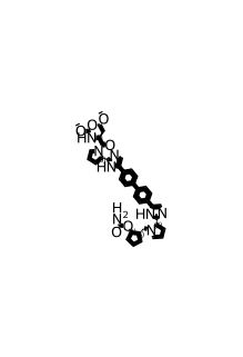 COCC[C@H](NC(=O)OC)C(=O)N1CCC[C@H]1c1ncc(-c2ccc(-c3ccc(-c4cnc([C@@H]5CCCN5C[C@@H]5CCC[C@@H]5OC(N)=O)[nH]4)cc3)cc2)[nH]1